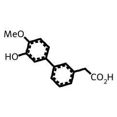 COc1ccc(-c2cccc(CC(=O)O)c2)cc1O